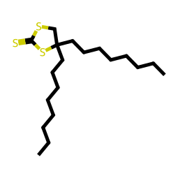 CCCCCCCCC1(CCCCCCCC)CSC(=S)S1